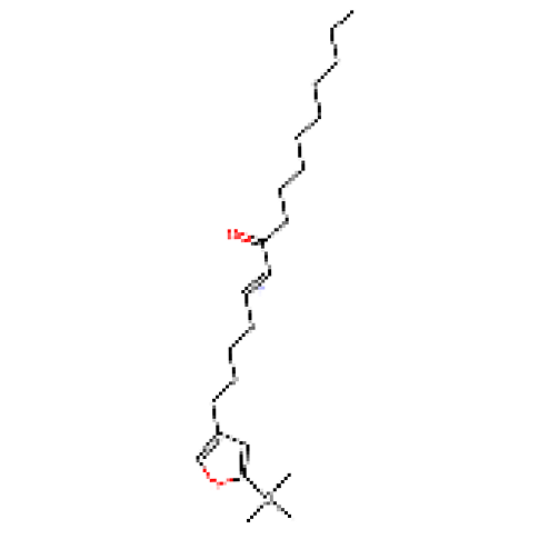 CCCCCCCCCC(=O)/C=C/CCCCc1coc([Si](C)(C)C)c1